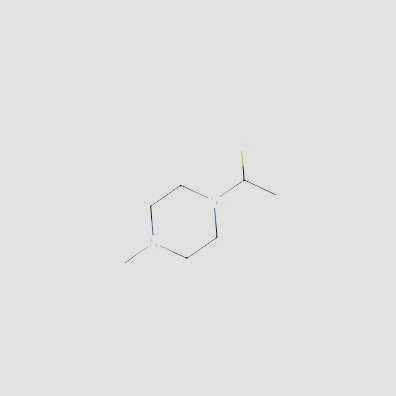 CC(S)N1CCN(C)CC1